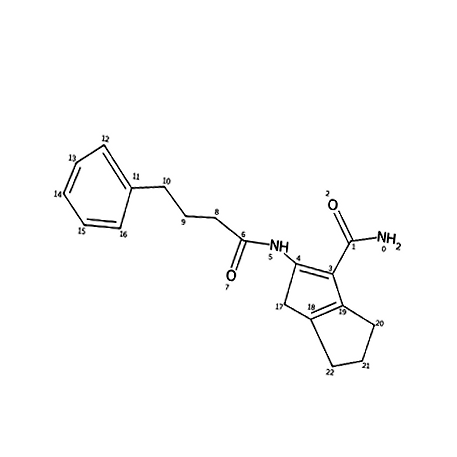 NC(=O)C1=C(NC(=O)CCCc2ccccc2)CC2=C1CCC2